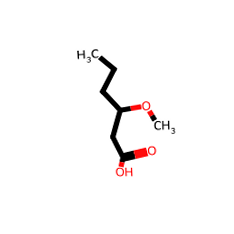 CCCC(CC(=O)O)OC